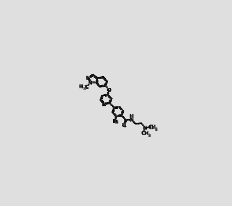 CCc1cc(-c2cc(Oc3ccc4cnn(C)c4c3)ccn2)ccc1C(=O)NCCN(C)C